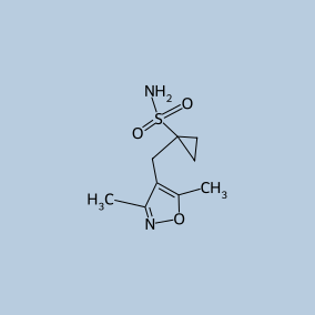 Cc1noc(C)c1CC1(S(N)(=O)=O)CC1